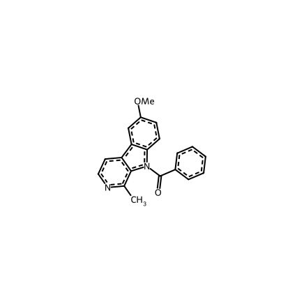 COc1ccc2c(c1)c1ccnc(C)c1n2C(=O)c1ccccc1